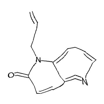 C=CCn1c(=O)ccc2ncccc21